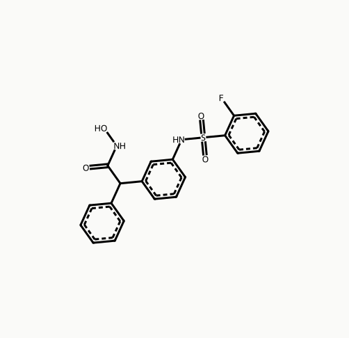 O=C(NO)C(c1ccccc1)c1cccc(NS(=O)(=O)c2ccccc2F)c1